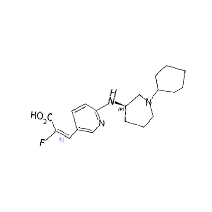 O=C(O)/C(F)=C\c1ccc(N[C@@H]2CCCN(C3CCCCC3)C2)nc1